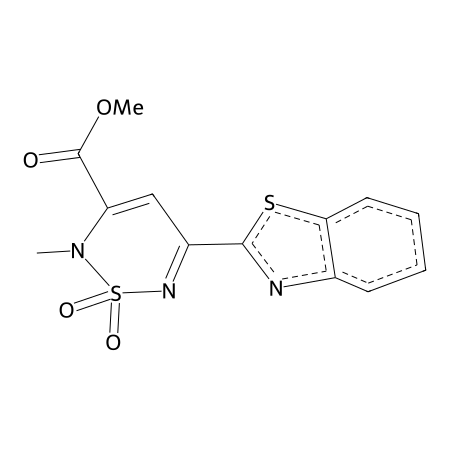 COC(=O)C1=CC(c2nc3ccccc3s2)=NS(=O)(=O)N1C